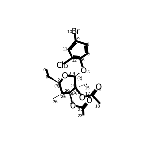 CC[C@H]1O[C@H](Oc2ccc(Br)cc2Cl)[C@@](C)(OC(C)=O)[C@@H](OC(C)=O)[C@@H]1C